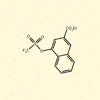 CCOC(=O)c1cc(OS(=O)(=O)C(F)(F)F)c2ccccc2c1